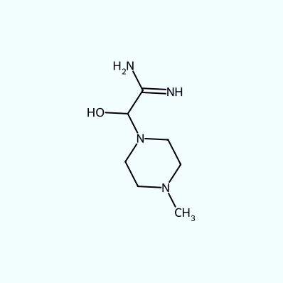 CN1CCN(C(O)C(=N)N)CC1